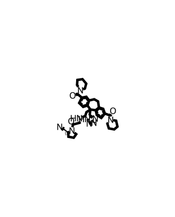 N#C[C@@H]1CCCN1C(=O)CNCCC1(c2nnn[nH]2)c2ccc(C(=O)N3CCCCC3)cc2CCc2cc(C(=O)N3CCCCC3)ccc21